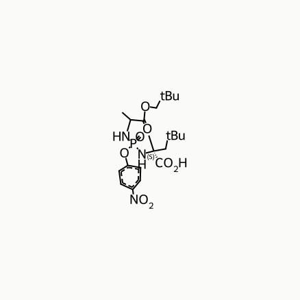 CC(NP(=O)(N[C@@](C)(CC(C)(C)C)C(=O)O)Oc1ccc([N+](=O)[O-])cc1)C(=O)OCC(C)(C)C